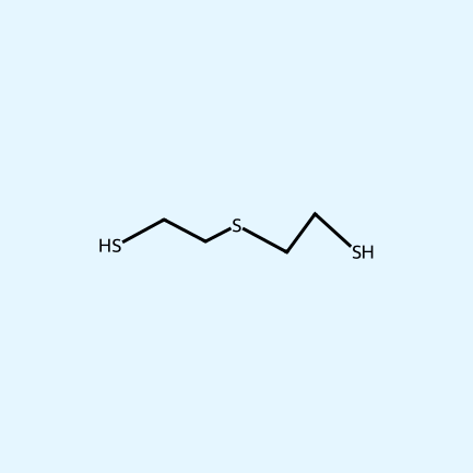 SCCSCCS